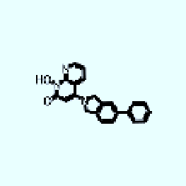 O=c1cc(N2Cc3ccc(-c4ccccc4)cc3C2)c2cccnc2n1O